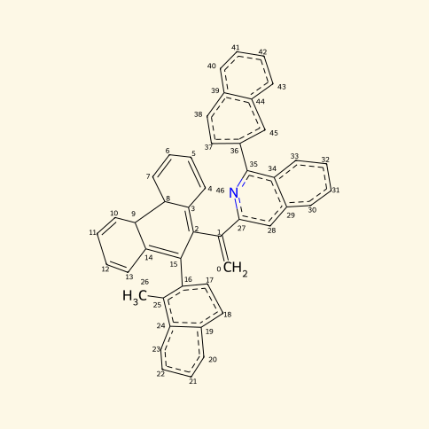 C=C(C1=C2C=CC=CC2C2C=CC=CC2=C1c1ccc2ccccc2c1C)c1cc2ccccc2c(-c2ccc3ccccc3c2)n1